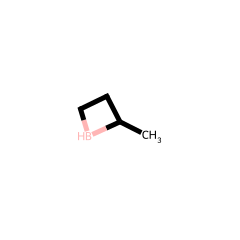 CC1BCC1